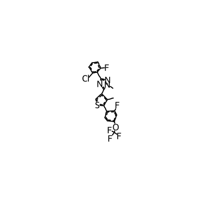 Cc1c(-c2nc(-c3c(F)cccc3Cl)nn2C)csc1-c1ccc(OC(F)(F)F)cc1F